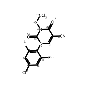 N#Cc1cn(-c2c(F)cc(Cl)cc2F)c(=O)n(SC(Cl)(Cl)Cl)c1=O